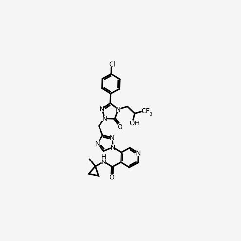 CC1(NC(=O)c2ccncc2-n2cnc(Cn3nc(-c4ccc(Cl)cc4)n(CC(O)C(F)(F)F)c3=O)n2)CC1